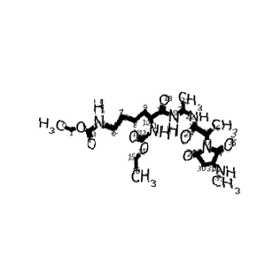 CCOC(=O)NCCCCC(NC(=O)OCC)C(=O)NC(C)NC(=O)C(C)N1C(=O)CC(NC)C1=O